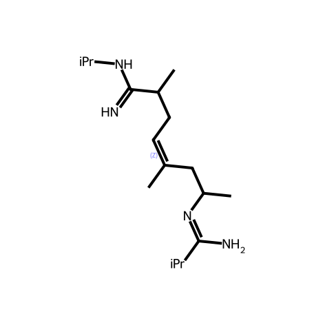 C/C(=C/CC(C)C(=N)NC(C)C)CC(C)N=C(N)C(C)C